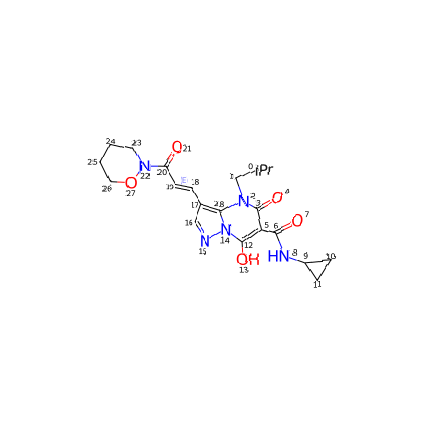 CC(C)Cn1c(=O)c(C(=O)NC2CC2)c(O)n2ncc(/C=C/C(=O)N3CCCCO3)c12